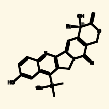 C=C1OCc2c(cc3n(c2=O)Cc2c-3nc3ccc(O)cc3c2[Si](C)(C)C(C)(C)C)[C@@]1(O)CC